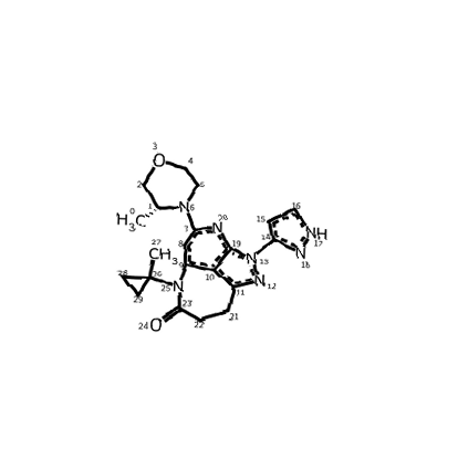 C[C@@H]1COCCN1c1cc2c3c(nn(-c4cc[nH]n4)c3n1)CCC(=O)N2C1(C)CC1